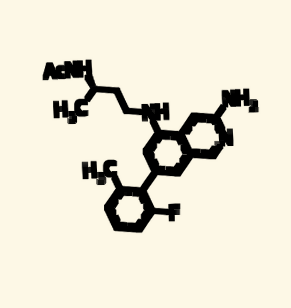 CC(=O)N[C@H](C)CCNc1cc(-c2c(C)cccc2F)cc2cnc(N)cc12